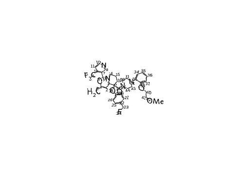 C=CCC1N(C(=O)c2cnccc2C(F)(F)F)CCCC1(Oc1ccc(CF)cc1)C(=O)N1CCN(c2ccccc2OCCOC)CC1